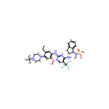 CCc1cc(Nc2ncc(C(F)(F)F)c(N[C@@H]3Cc4ccccc4[C@H]3N(C)S(C)(=O)=O)n2)c(OC)cc1N1CCN(C(C)(C)C)CC1